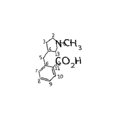 CN1CCC(Cc2ccccc2C(=O)O)C1